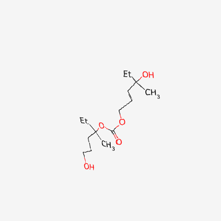 CCC(C)(O)CCCOC(=O)OC(C)(CC)CCCO